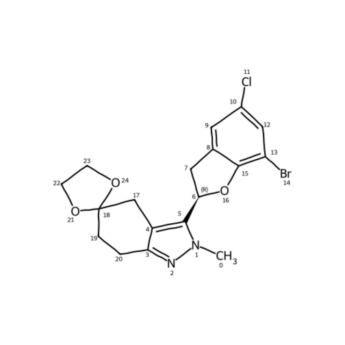 Cn1nc2c(c1[C@H]1Cc3cc(Cl)cc(Br)c3O1)CC1(CC2)OCCO1